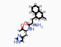 CC(=O)[C@H](Cc1c[nH]cn1)NC(=O)[C@@H](N)Cc1cc(C)cc2ccccc12